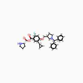 O=C(OC(=O)[C@@H]1CCCN1)c1cc(C2CC2)c(OCC2CCN(C(c3ccccc3)c3ccccc3)C2)cc1F